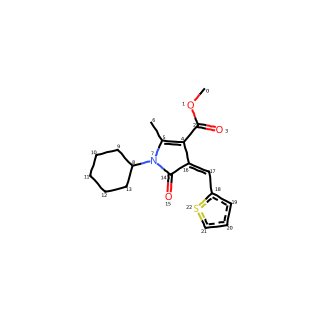 COC(=O)C1=C(C)N(C2CCCCC2)C(=O)/C1=C\c1cccs1